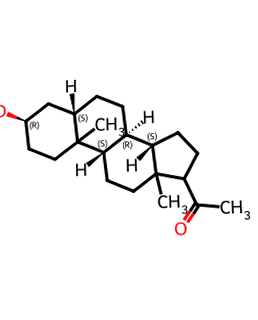 CC(=O)C1CC[C@H]2[C@@H]3CC[C@H]4C[C@H](O)CCC4(C)[C@H]3CCC12C